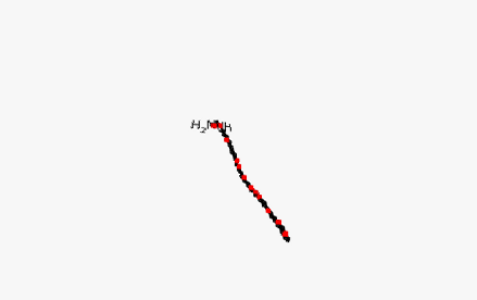 CCCCCCCCCCCCCCCCCCCCCCCCCCCCCCCCCCCCCCCCCCNC(C)CN